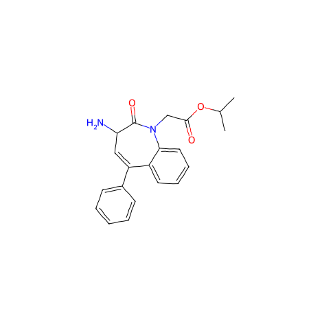 CC(C)OC(=O)CN1C(=O)C(N)C=C(c2ccccc2)c2ccccc21